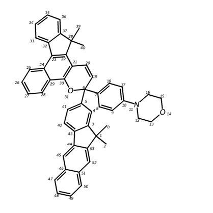 CC1(C)c2cc(C3(c4ccc(N5CCOCC5)cc4)C=Cc4c5c(c6ccccc6c4O3)-c3ccccc3C5(C)C)ccc2-c2cc3ccccc3cc21